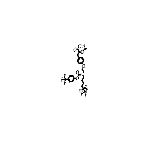 CCOC(Cc1ccc(OCCN(CCCCC(F)(F)C(F)(F)F)C(=O)Oc2ccc(C(F)(F)F)cc2)cc1)C(=O)O